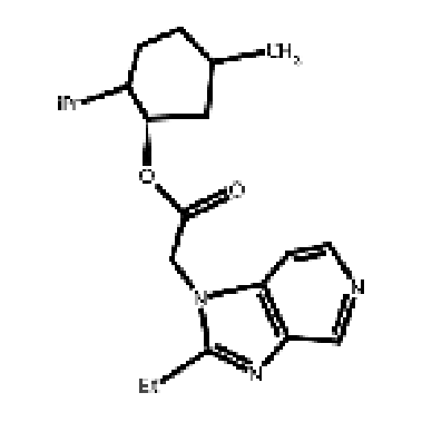 CCc1nc2cnccc2n1CC(=O)O[C@@H]1CC(C)CCC1C(C)C